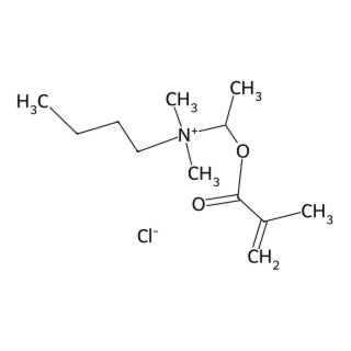 C=C(C)C(=O)OC(C)[N+](C)(C)CCCC.[Cl-]